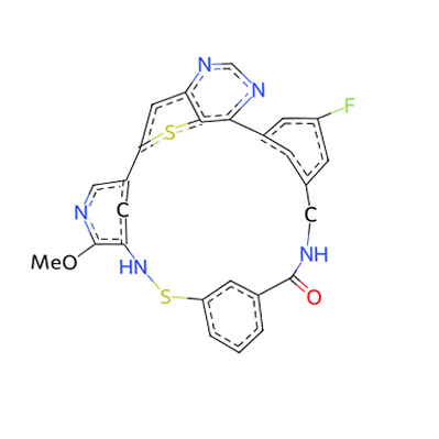 COc1ncc2cc1NSc1cccc(c1)C(=O)NCc1cc(F)cc(c1)-c1ncnc3cc-2sc13